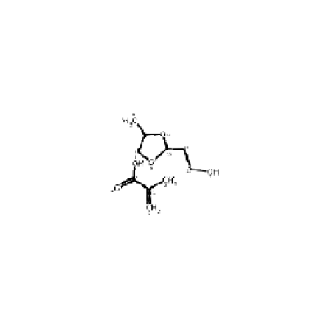 C=C(C)C(=O)O.CC1COC(CCO)O1